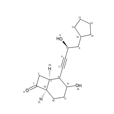 O=C1C[C@H]2C(C#C[C@@H](O)CC3CCCC3)C(O)CC[C@@H]12